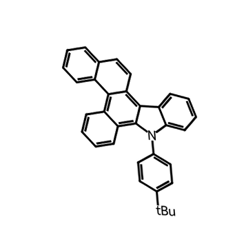 CC(C)(C)c1ccc(-n2c3ccccc3c3c4ccc5ccccc5c4c4ccccc4c32)cc1